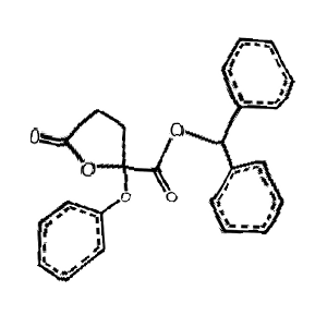 O=C1CCC(Oc2ccccc2)(C(=O)OC(c2ccccc2)c2ccccc2)O1